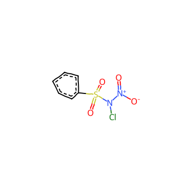 O=[N+]([O-])N(Cl)S(=O)(=O)c1ccccc1